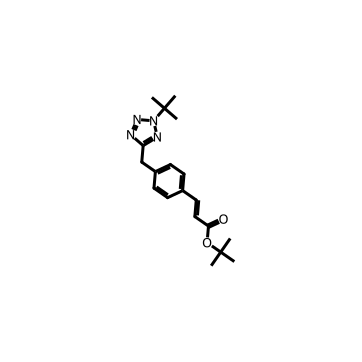 CC(C)(C)OC(=O)C=Cc1ccc(Cc2nnn(C(C)(C)C)n2)cc1